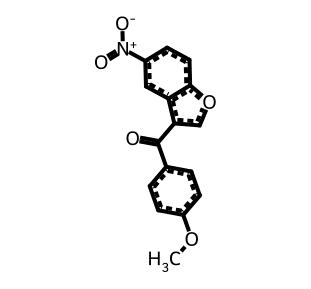 COc1ccc(C(=O)c2coc3ccc([N+](=O)[O-])cc23)cc1